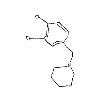 Clc1ccc(CN2CC[CH]CC2)cc1Cl